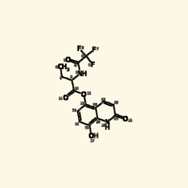 CCC(NC(=O)C(F)(F)F)C(=O)Oc1ccc(O)c2[nH]c(=O)ccc12